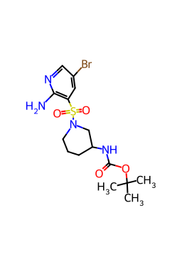 CC(C)(C)OC(=O)NC1CCCN(S(=O)(=O)c2cc(Br)cnc2N)C1